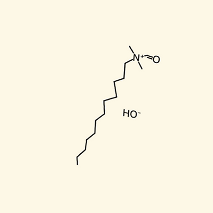 CCCCCCCCCCCC[N+](C)(C)C=O.[OH-]